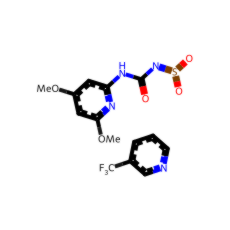 COc1cc(NC(=O)N=S(=O)=O)nc(OC)c1.FC(F)(F)c1cccnc1